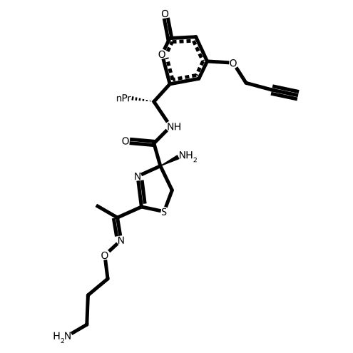 C#CCOc1cc([C@@H](CCC)NC(=O)[C@]2(N)CSC(/C(C)=N/OCCCN)=N2)oc(=O)c1